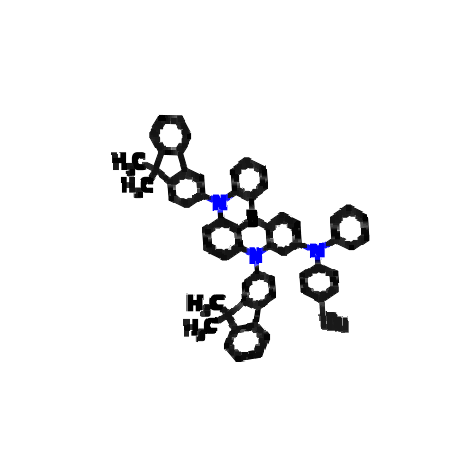 CC(C)(C)c1ccc(N(c2ccccc2)c2ccc3c(c2)N(c2ccc4c(c2)C(C)(C)c2ccccc2-4)c2cccc4c2B3c2ccccc2N4c2ccc3c(c2)-c2ccccc2C3(C)C)cc1